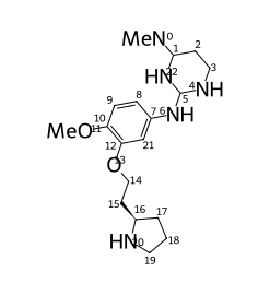 CNC1CCNC(Nc2ccc(OC)c(OCC[C@H]3CCCN3)c2)N1